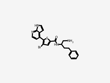 NCC(CCc1ccccc1)NC(=O)c1cc(Br)c(-c2ccnc3[nH]ccc23)s1